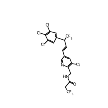 O=C(CC(F)(F)F)NCc1ncc(C=CC(c2cc(Cl)c(Cl)c(Cl)c2)C(F)(F)F)cc1Cl